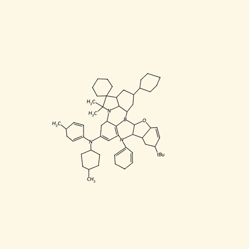 CC1C=CC(N(C2=CC3=C4B(C5CC(C6CCCCC6)CC6C5N(C4C2)C(C)(C)C62CCCCC2)C2OC4C=CC(C(C)(C)C)CC4C2N3C2=CCCC=C2)C2CCC(C)CC2)=CC1